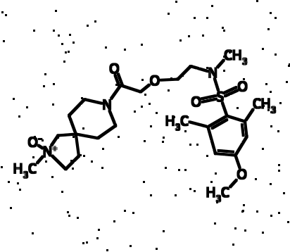 COc1cc(C)c(S(=O)(=O)N(C)CCOCC(=O)N2CCC3(CC2)CC[N+](C)([O-])C3)c(C)c1